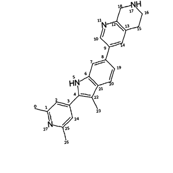 Cc1cc(-c2[nH]c3cc(-c4cnc5c(c4)CCNC5)ccc3c2C)cc(C)n1